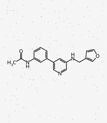 CC(=O)Nc1cccc(-c2cncc(NCc3ccoc3)c2)c1